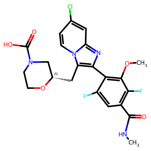 CNC(=O)c1cc(F)c(-c2nc3cc(Cl)ccn3c2C[C@H]2CN(C(=O)O)CCO2)c(OC)c1F